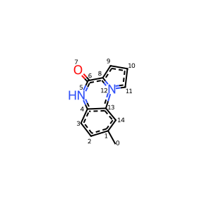 Cc1ccc2[nH]c(=O)c3cccn3c2c1